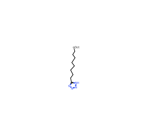 [CH2]CCCCCCCCCCCCCCCc1nnn[nH]1